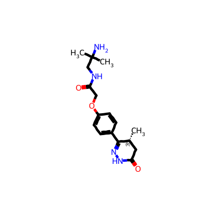 C[C@@H]1CC(=O)NN=C1c1ccc(OCC(=O)NCC(C)(C)N)cc1